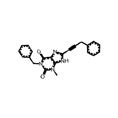 Cn1c(=O)n(Cc2ccccc2)c(=O)c2nc(C#CCc3ccccc3)[nH]c21